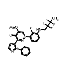 COc1cn(-c2cccc(NCC(F)(F)C(C)(F)F)c2F)nc(-c2ccnn2-c2ccccc2)c1=O